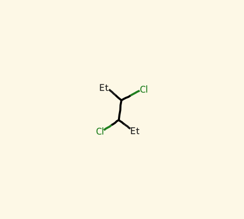 [CH2]CC(Cl)C(Cl)CC